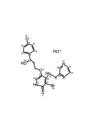 Cl.O=c1[nH]nc(OCC[C@@H](O)c2ccc(Cl)cc2)c(NCc2cccnc2)c1Br